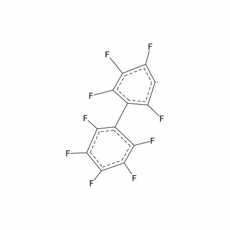 Fc1[c]c(F)c(-c2c(F)c(F)c(F)c(F)c2F)c(F)c1F